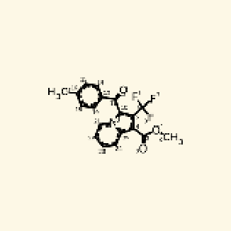 COC(=O)c1c(C(F)(F)F)c(C(=O)c2ccc(C)cc2)n2ccccc12